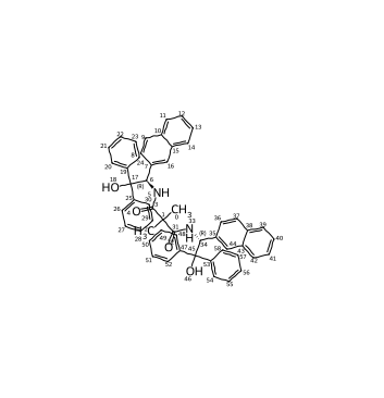 CC(C)(C(=O)N[C@H](c1ccc2ccccc2c1)C(O)(c1ccccc1)c1ccccc1)C(=O)N[C@H](c1ccc2ccccc2c1)C(O)(c1ccccc1)c1ccccc1